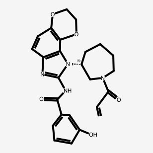 C=CC(=O)N1CCCC[C@@H](n2c(NC(=O)c3cccc(O)c3)nc3ccc4c(c32)OCCO4)C1